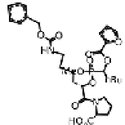 CCCCC(OC(=O)c1ccco1)P(=O)(OC)O[C@@H](CCCCNC(=O)OCc1ccccc1)C(=O)N1CCC[C@H]1C(=O)O